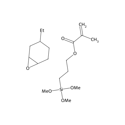 C=C(C)C(=O)OCCC[Si](OC)(OC)OC.[CH2]CC1CCC2OC2C1